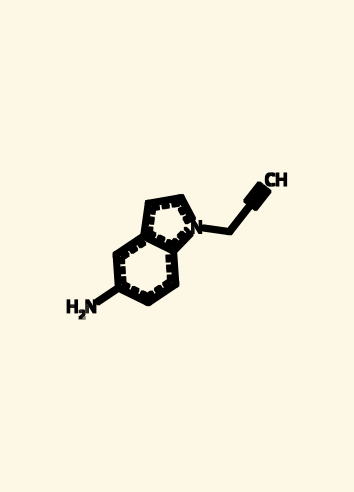 C#CCn1ccc2cc(N)ccc21